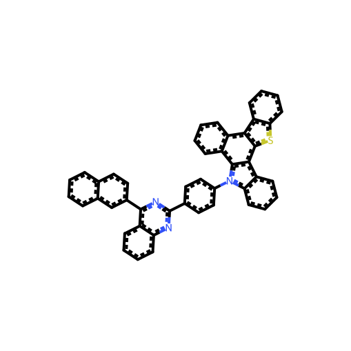 c1ccc2cc(-c3nc(-c4ccc(-n5c6ccccc6c6c7sc8ccccc8c7c7ccccc7c65)cc4)nc4ccccc34)ccc2c1